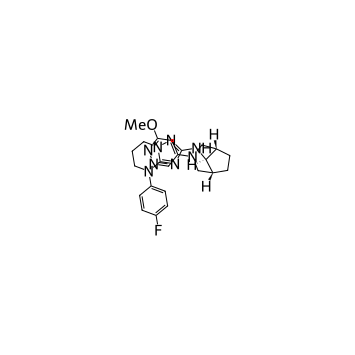 COc1cc(N2C[C@H]3CC[C@@H](C2)[C@@H]3Nc2nc3n(n2)CCCN3c2ccc(F)cc2)cnn1